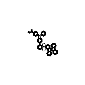 C=CC(=C)c1ccc(N(c2ccccc2)c2ccc(-c3cccc4c3Oc3ccc5c(c3O4)-c3ccccc3C53c4ccccc4-c4ccccc43)cc2)cc1